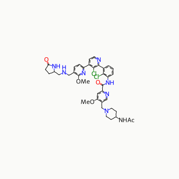 COc1cc(C(=O)Nc2cccc(-c3nccc(-c4ccc(CNCC5CCC(=O)N5)c(OC)n4)c3Cl)c2Cl)ncc1CN1CCC(NC(C)=O)CC1